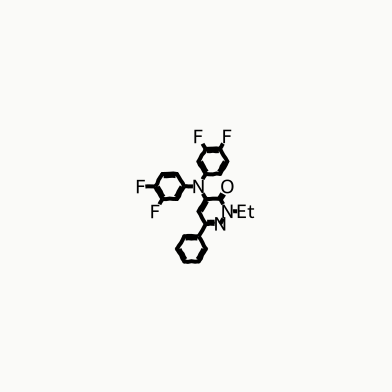 CCn1nc(-c2ccccc2)cc(N(c2ccc(F)c(F)c2)c2ccc(F)c(F)c2)c1=O